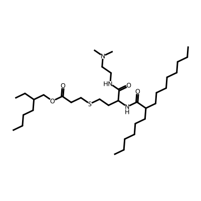 CCCCCCCCC(CCCCCC)C(=O)NC(CCSCCC(=O)OCC(CC)CCCC)C(=O)NCCN(C)C